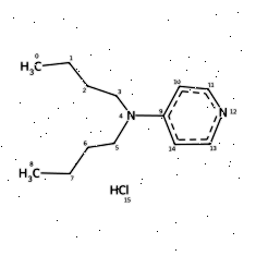 CCCCN(CCCC)c1ccncc1.Cl